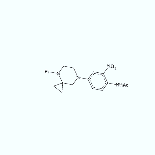 CCN1CCN(c2ccc(NC(C)=O)c([N+](=O)[O-])c2)CC12CC2